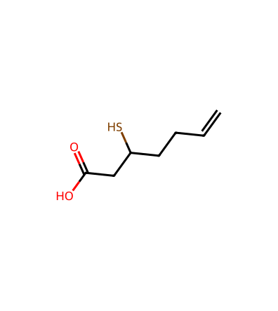 C=CCCC(S)CC(=O)O